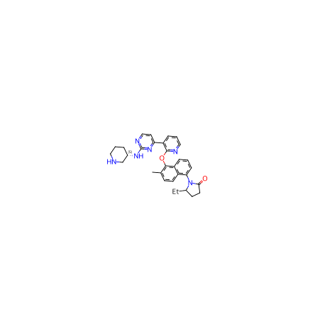 CCC1CCC(=O)N1c1cccc2c(Oc3ncccc3-c3ccnc(N[C@H]4CCCNC4)n3)c(C)ccc12